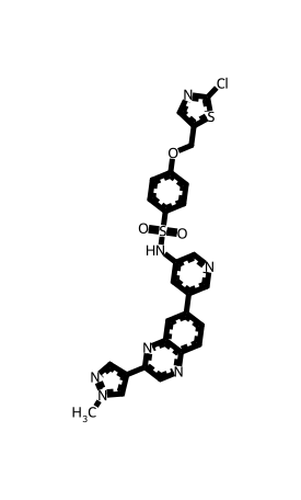 Cn1cc(-c2cnc3ccc(-c4cncc(NS(=O)(=O)c5ccc(OCc6cnc(Cl)s6)cc5)c4)cc3n2)cn1